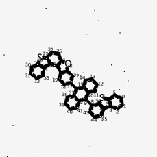 c1ccc2c(c1)sc1c(-c3c4ccccc4c(-c4ccc5c(c4)oc4ccc6sc7ccccc7c6c45)c4ccccc34)cccc12